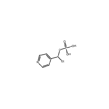 CCC(OP(=O)(O)O)c1ccncc1